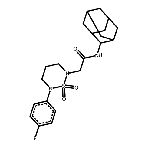 O=C(CN1CCCN(c2ccc(F)cc2)S1(=O)=O)NC1C2CC3CC(C2)CC1C3